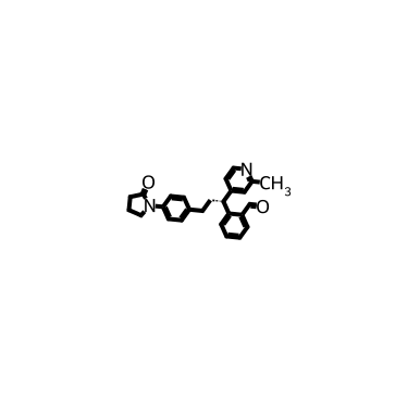 Cc1cc([C@@H](CCc2ccc(N3CCCC3=O)cc2)c2ccccc2C=O)ccn1